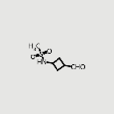 CS(=O)(=O)NC1CC(C=O)C1